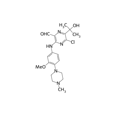 COc1cc(Nc2nc(Cl)c(C(C)(C)O)nc2C=O)ccc1N1CCN(C)CC1